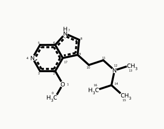 COc1cncc2[nH]cc(CCN(C)C(C)C)c12